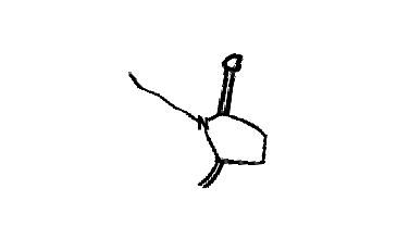 C=C1CCC(=O)N1CCC